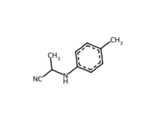 Cc1ccc(NC(C)C#N)cc1